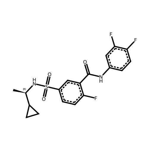 C[C@@H](NS(=O)(=O)c1ccc(F)c(C(=O)Nc2ccc(F)c(F)c2)c1)C1CC1